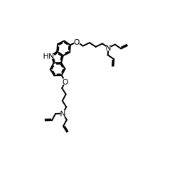 C=CCN(CC=C)CCCCOc1ccc2[nH]c3ccc(OCCCCN(CC=C)CC=C)cc3c2c1